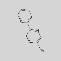 CC(C)c1ccc(-c2ccccc2)nc1